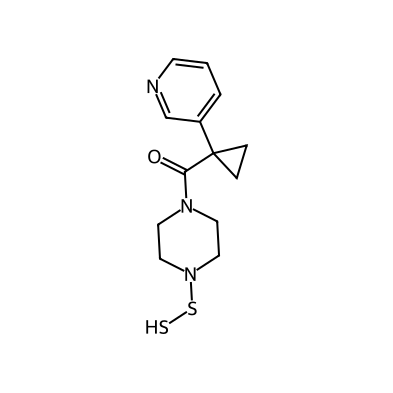 O=C(N1CCN(SS)CC1)C1(c2cccnc2)CC1